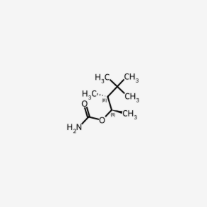 C[C@@H](OC(N)=O)[C@H](C)C(C)(C)C